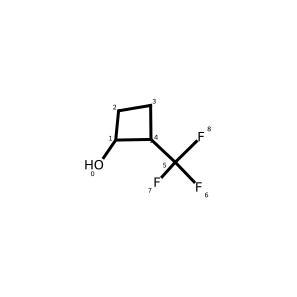 OC1CC[C]1C(F)(F)F